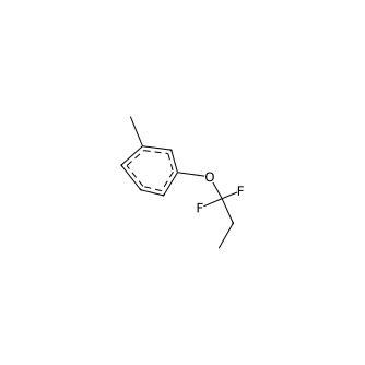 CCC(F)(F)Oc1cccc(C)c1